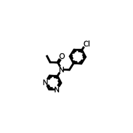 CCC(=O)N(Cc1ccc(Cl)cc1)c1cncnc1